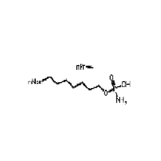 CCCC.CCCCCCCCCCCCCCCCOP(N)(=O)O